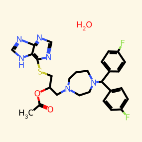 CC(=O)OC(CSc1ncnc2nc[nH]c12)CN1CCCN(C(c2ccc(F)cc2)c2ccc(F)cc2)CC1.O